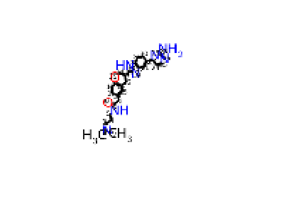 CN(C)CCCNC(=O)Cc1ccc2c(c1)CC(c1nc3cc(-c4ccnc(N)n4)ccc3[nH]1)CO2